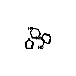 C1CNCCN1.Oc1ccccc1.c1ccsc1